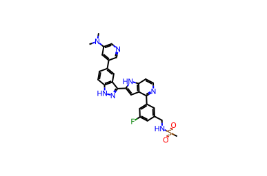 CN(C)c1cncc(-c2ccc3[nH]nc(-c4cc5c(-c6cc(F)cc(CNS(C)(=O)=O)c6)nccc5[nH]4)c3c2)c1